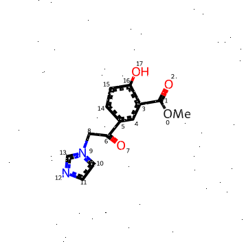 COC(=O)c1cc(C(=O)Cn2ccnc2)ccc1O